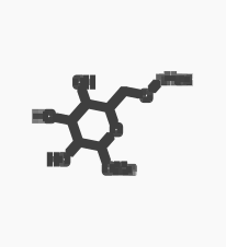 CCCCCCOCC1OC(OC)C(O)C(O)C1O